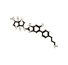 OCCCc1ccc(-c2cc3nc(O[C@@H]4CO[C@H]5[C@@H]4OC[C@H]5O)[nH]c3cc2Cl)cc1